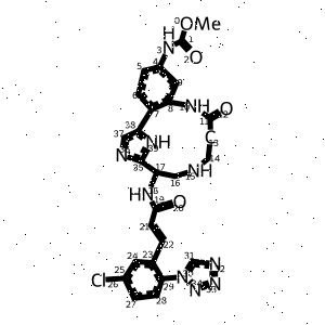 COC(=O)Nc1ccc2c(c1)NC(=O)CCNCC(NC(=O)/C=C/c1cc(Cl)ccc1-n1cnnn1)c1ncc-2[nH]1